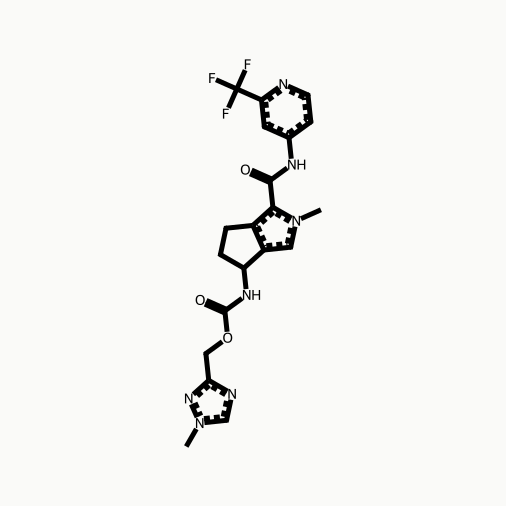 Cn1cnc(COC(=O)NC2CCc3c2cn(C)c3C(=O)Nc2ccnc(C(F)(F)F)c2)n1